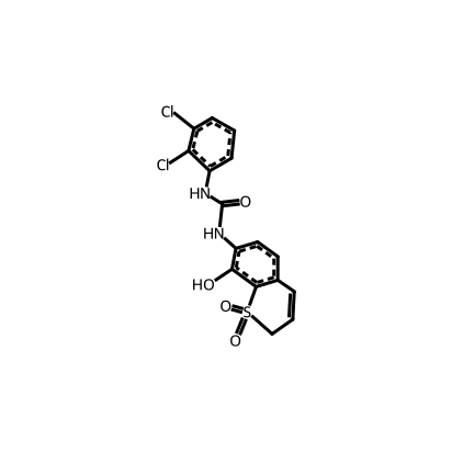 O=C(Nc1ccc2c(c1O)S(=O)(=O)CC=C2)Nc1cccc(Cl)c1Cl